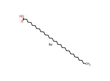 CCCCCCCCCCCCCCCCCCCCCCCCCCCCCC(=O)O.[Ba]